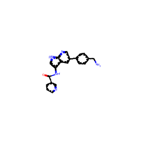 NCc1ccc(-c2cnc3[nH]cc(NC(=O)c4cccnc4)c3c2)cc1